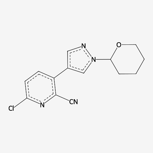 N#Cc1nc(Cl)ccc1-c1cnn(C2CCCCO2)c1